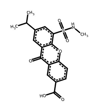 CNS(=O)(=O)c1cc(C(C)C)cc2c(=O)c3cc(C(=O)O)ccc3oc12